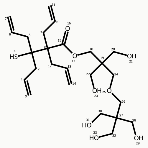 C=CCC(S)(CC=C)C(CC=C)(CC=C)C(=O)OCC(CO)(CO)COCC(CO)(CO)CO